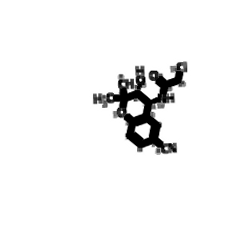 CC1(C)Oc2ccc(C#N)cc2[C@H](NC(=O)CCl)[C@H]1O